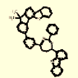 CC1(C)c2ccc(-c3cccc(C4=NC(c5ccccc5)=NC(c5cccc6c5sc5ccccc56)CC4)c3)cc2-c2c1ccc1c2OC2=CC=CCC21